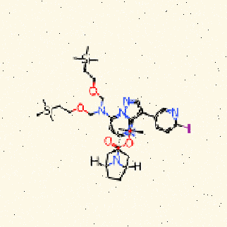 CC(C)(C)OC(=O)N1[C@@H]2CC[C@H]1C[C@@H](c1cc(N(COCC[Si](C)(C)C)COCC[Si](C)(C)C)n3ncc(-c4ccc(I)nc4)c3n1)C2